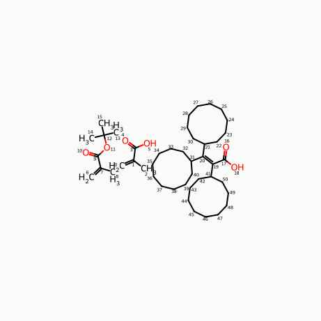 C=C(C)C(=O)O.C=C(C)C(=O)OC(C)(C)C.O=C(O)C(=C(C1CCCCCCCCC1)C1CCCCCCCCC1)C1CCCCCCCCC1